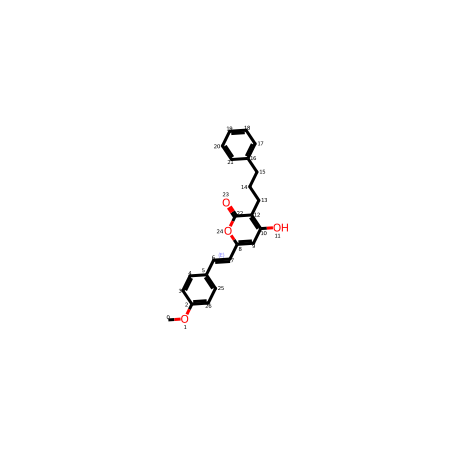 COc1ccc(/C=C/c2cc(O)c(CCCc3ccccc3)c(=O)o2)cc1